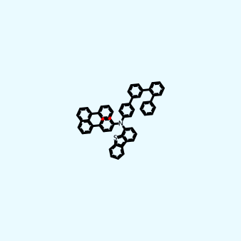 c1ccc(-c2ccccc2-c2cccc(-c3ccc(N(c4ccc(-c5cccc6cccc(-c7ccccc7)c56)cc4)c4cccc5c4sc4ccccc45)cc3)c2)cc1